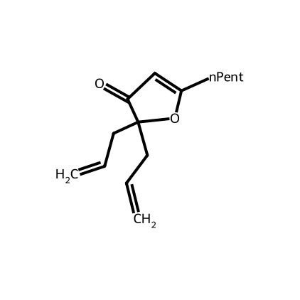 C=CCC1(CC=C)OC(CCCCC)=CC1=O